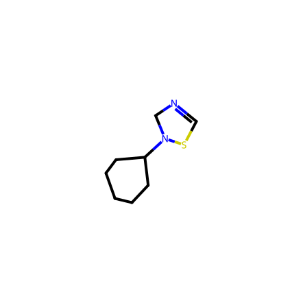 C1=NCN(C2CCCCC2)S1